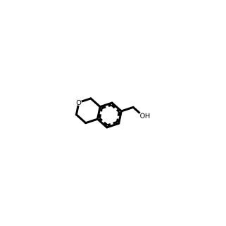 OCc1ccc2c(c1)COCC2